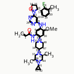 C=CC(=O)Nc1cc(Nc2cc(N3OCC[C@@H]3c3cccc(C)c3F)ncn2)c(OC)cc1N1CCC(N2C[C@H](C)N(C3CC3)C[C@@H]2C)CC1